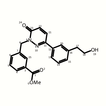 COC(=O)c1cccc(Cn2nc(-c3cccc(CCO)c3)ccc2=O)c1